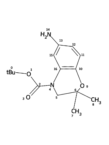 CC(C)(C)OC(=O)N1CC(C)(C)Oc2ccc(N)cc21